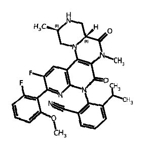 COc1cccc(F)c1-c1nc2c(cc1F)c1c(c(=O)n2-c2c(C#N)cccc2C(C)C)N(C)C(=O)[C@H]2CN[C@H](C)CN12